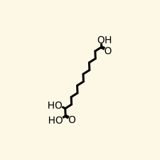 O=C(O)CCCCCCCCCCC(O)C(=O)O